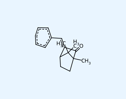 CC12CCC(/C(=C\c3ccccc3)C1=O)C2(C)C